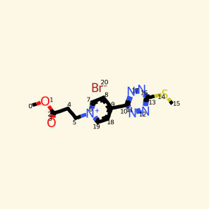 COC(=O)CC[n+]1ccc(-c2nnc(SC)nn2)cc1.[Br-]